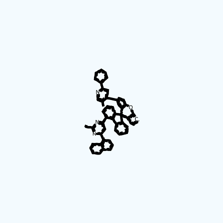 Cc1nc(-c2cccc3c2-c2ccccc2C32c3ccccc3Oc3ccc(-c4cc(-c5ccccc5)ncc4C)cc32)cc(-c2cccc3ccccc23)n1